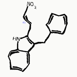 O=[N+]([O-])/C=C/c1[nH]c2ccccc2c1Cc1ccccc1